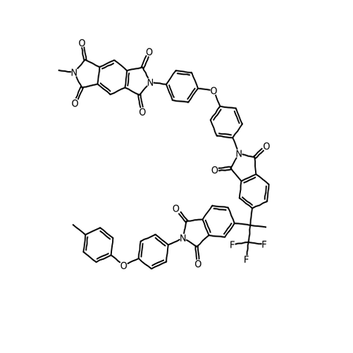 Cc1ccc(Oc2ccc(N3C(=O)c4ccc(C(C)(c5ccc6c(c5)C(=O)N(c5ccc(Oc7ccc(-n8c(=O)c9cc%10c(=O)n(C)c(=O)c%10cc9c8=O)cc7)cc5)C6=O)C(F)(F)F)cc4C3=O)cc2)cc1